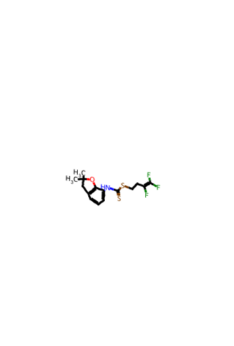 CC1(C)Cc2cccc(NC(=S)SCCC(F)=C(F)F)c2O1